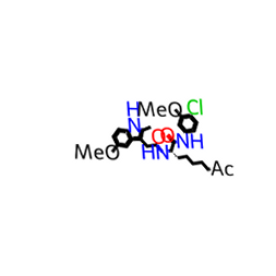 COc1ccc2[nH]c(C)c(CC(=O)N[C@@H](CCCCCC(C)=O)C(=O)Nc3ccc(Cl)c(OC)c3)c2c1